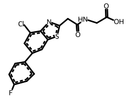 O=C(O)CNC(=O)Cc1nc2c(Cl)cc(-c3ccc(F)cc3)cc2s1